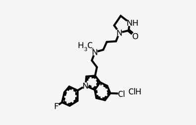 CN(CCCN1CCNC1=O)CCc1cn(-c2ccc(F)cc2)c2ccc(Cl)cc12.Cl